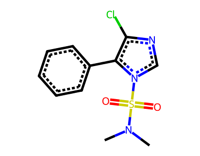 CN(C)S(=O)(=O)n1cnc(Cl)c1-c1ccccc1